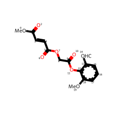 COC(=O)C=CC(=O)OCC(=O)Oc1c(C=O)cccc1OC